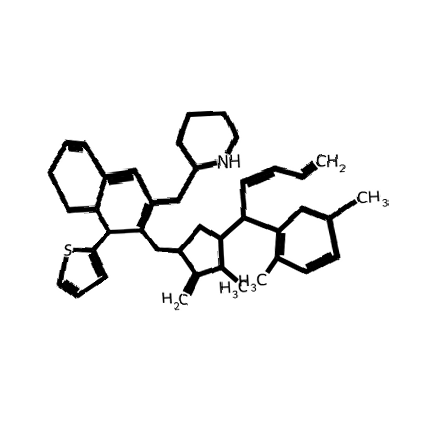 C=C/C=C\C(C1=C(C)C=CC(C)C1)C1CC(CC2=C(CC3CCCCN3)C=C3C=CCCC3C2c2cccs2)C(=C)C1C